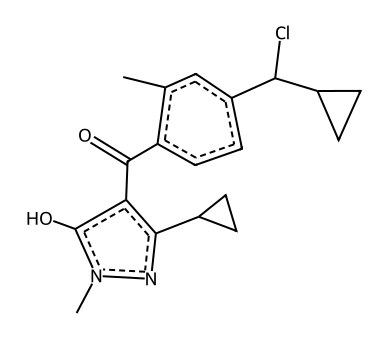 Cc1cc(C(Cl)C2CC2)ccc1C(=O)c1c(C2CC2)nn(C)c1O